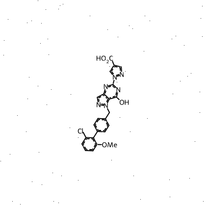 COc1cccc(Cl)c1-c1ccc(Cn2ncc3nc(-n4cc(C(=O)O)cn4)nc(O)c32)cc1